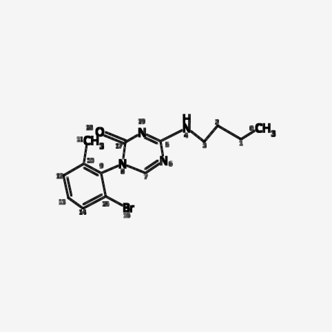 CCCCNc1ncn(-c2c(C)cccc2Br)c(=O)n1